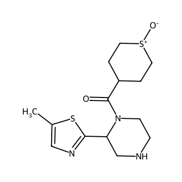 Cc1cnc(C2CNCCN2C(=O)C2CC[S+]([O-])CC2)s1